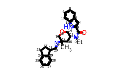 CCN(C(=O)c1cc2ccccc2[nH]1)[C@H]1COCC(C)(/N=C/C2CCc3ccccc32)C1